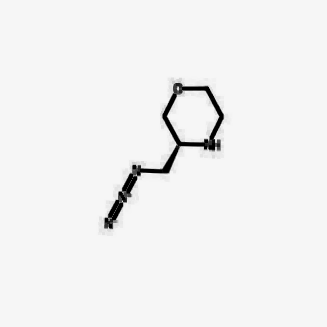 [N-]=[N+]=NC[C@H]1COCCN1